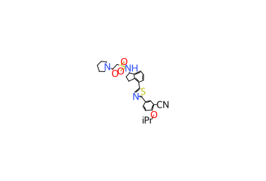 CC(C)Oc1ccc(-c2ncc(-c3cccc4c3CC[C@H]4NS(=O)(=O)CC(=O)N3CCCCC3)s2)cc1C#N